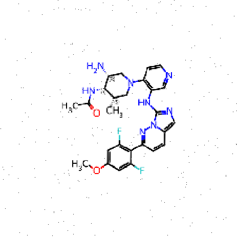 COc1cc(F)c(-c2ccc3cnc(Nc4cnccc4N4C[C@@H](N)[C@@H](NC(C)=O)[C@@H](C)C4)n3n2)c(F)c1